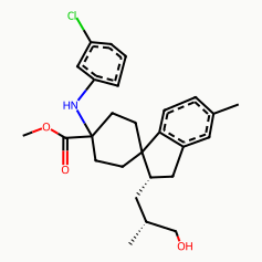 COC(=O)C1(Nc2cccc(Cl)c2)CCC2(CC1)c1ccc(C)cc1C[C@@H]2C[C@@H](C)CO